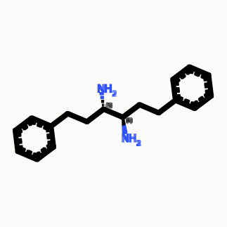 N[C@H](CCc1ccccc1)[C@@H](N)CCc1ccccc1